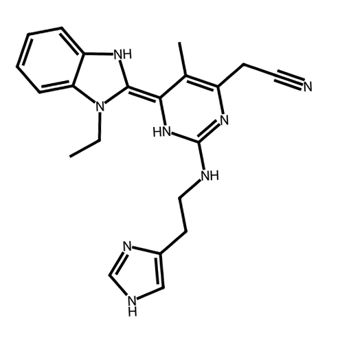 CCN1C(=C2NC(NCCc3c[nH]cn3)=NC(CC#N)=C2C)Nc2ccccc21